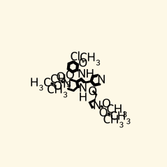 COc1c(Cl)cccc1Nc1c(-c2ccncc2OC[C@@H]2CCN2C(=O)OC(C)(C)C)[nH]c2c1C(=O)N(C(=O)OC(C)(C)C)CC2